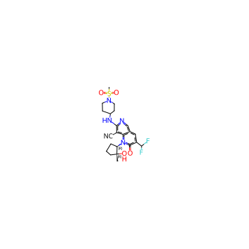 C[C@@]1(O)CCC[C@H]1n1c(=O)c(C(F)F)cc2cnc(NC3CCN(S(C)(=O)=O)CC3)c(C#N)c21